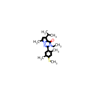 CCn1c(-c2cc(C)c(SC)cc2C)nn2c(C)cc(C(C)C)c2c1=O